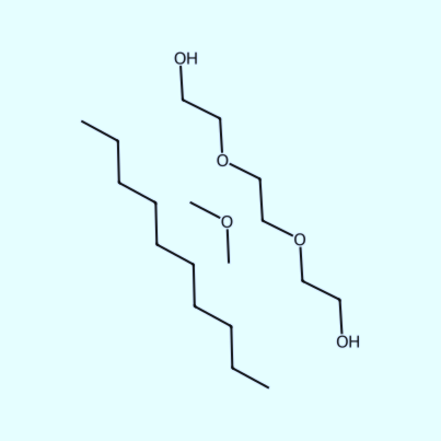 CCCCCCCCCC.COC.OCCOCCOCCO